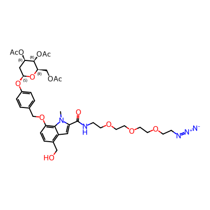 CC(=O)OC[C@H]1O[C@@H](Oc2ccc(COc3ccc(CO)c4cc(C(=O)NCCOCCOCCOCCN=[N+]=[N-])n(C)c34)cc2)C[C@@H](OC(C)=O)[C@H]1OC(C)=O